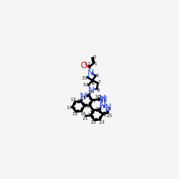 C=CC(=O)N1CC2(CCN(c3nc4ccccc4c(-c4c(C)ccc5cn[nH]c45)c3C#N)C2)C1